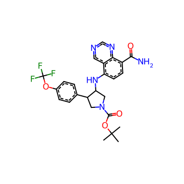 CC(C)(C)OC(=O)N1CC(Nc2ccc(C(N)=O)c3ncncc23)C(c2ccc(OC(F)(F)F)cc2)C1